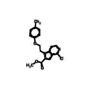 COC(=O)c1cc2c(Cl)nccc2n1CCOc1ccc(C)cc1